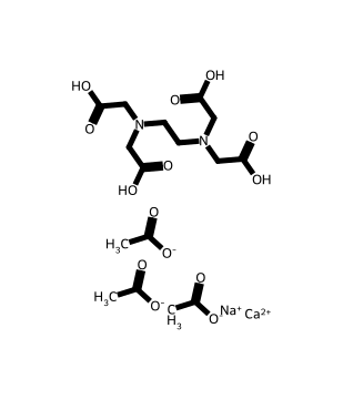 CC(=O)[O-].CC(=O)[O-].CC(=O)[O-].O=C(O)CN(CCN(CC(=O)O)CC(=O)O)CC(=O)O.[Ca+2].[Na+]